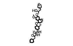 COc1cc2c(Oc3ccc(NC(=O)NC(=O)Cc4ccccc4)cc3F)ccnc2cc1OCC(O)CN1CCOCC1